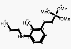 CO[Si](CCc1cccc(NCCN)c1C)(OC)OC